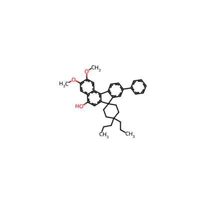 CCCC1(CCC)CCC2(CC1)c1cc(-c3ccccc3)ccc1-c1c2cc(O)c2cc(OC)c(OC)cc12